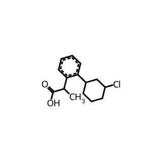 CC(C(=O)O)c1ccccc1C1CCCC(Cl)C1